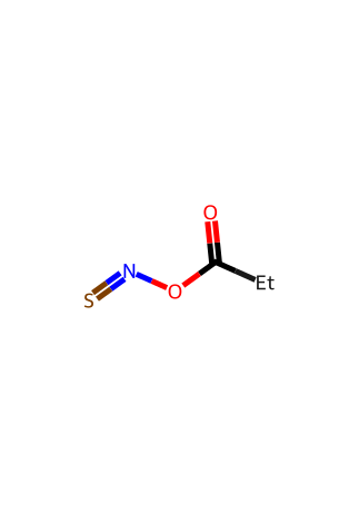 CCC(=O)ON=S